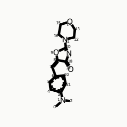 CN(C)c1ccc(/C=C2/OC(N3CCOCC3)=NC2=O)cc1